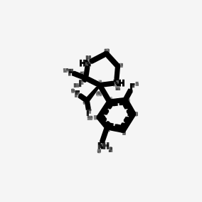 Nc1ccc(F)c([C@@]2(C(F)F)NCCNC2(F)F)c1